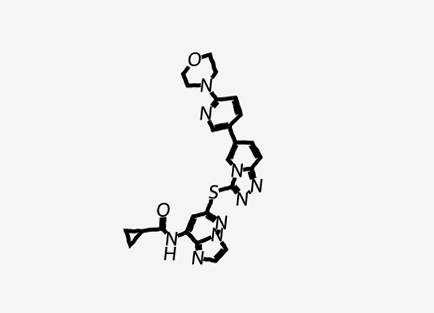 O=C(Nc1cc(Sc2nnc3ccc(-c4ccc(N5CCOCC5)nc4)cn23)nn2ccnc12)C1CC1